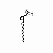 CCCCCCCC/C=C/COCc1cccc(CCC(=O)O)c1